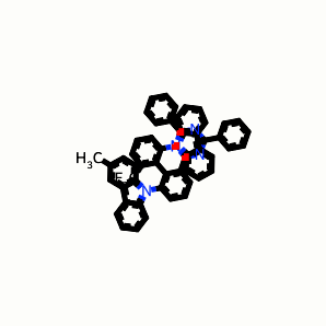 Cc1ccc2c(c1)c1ccccc1n2-c1cccc(-c2nc(-c3ccccc3)nc(-c3ccccc3)n2)c1-c1c(-n2c3ccccc3c3ccccc32)cccc1C(F)(F)F